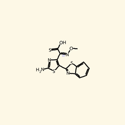 CO/N=C(\C(O)=S)c1nc(N)sc1-c1nc2ccccc2s1